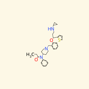 CCC(=O)N(c1ccccc1)C1CCN(Cc2ccccc2OC(CCNC2CC2)c2cccs2)CC1